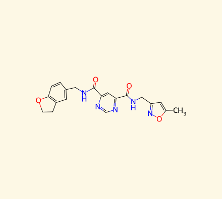 Cc1cc(CNC(=O)c2cc(C(=O)NCc3ccc4c(c3)CCO4)ncn2)no1